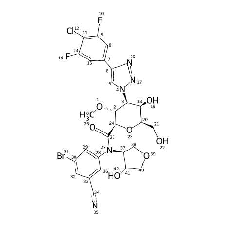 CO[C@@H]1[C@@H](n2cc(-c3cc(F)c(Cl)c(F)c3)nn2)[C@@H](O)[C@@H](CO)O[C@H]1C(=O)N(c1cc(Br)cc(C#N)c1)[C@H]1COC[C@@H]1O